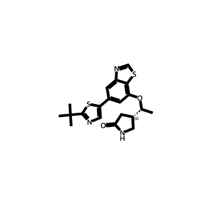 CC(Oc1cc(-c2cnc(C(C)(C)C)s2)cc2ncsc12)[C@@H]1CNC(=O)C1